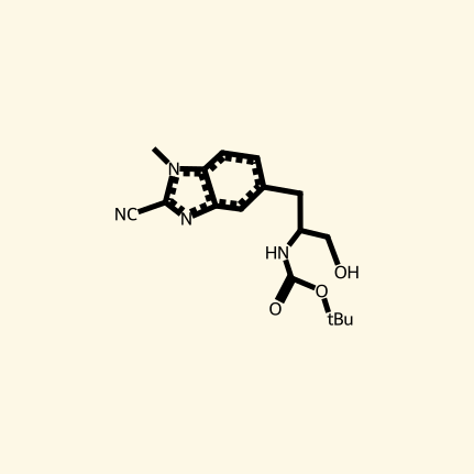 Cn1c(C#N)nc2cc(CC(CO)NC(=O)OC(C)(C)C)ccc21